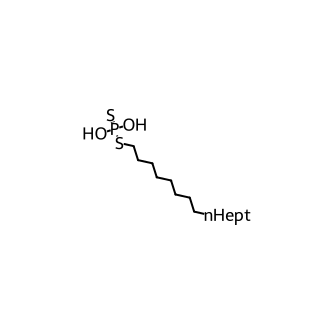 CCCCCCCCCCCCCCCSP(O)(O)=S